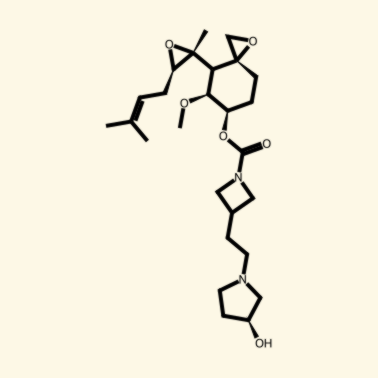 CO[C@H]1C([C@@]2(C)O[C@@H]2CC=C(C)C)[C@]2(CC[C@H]1OC(=O)N1CC(CCN3CC[C@H](O)C3)C1)CO2